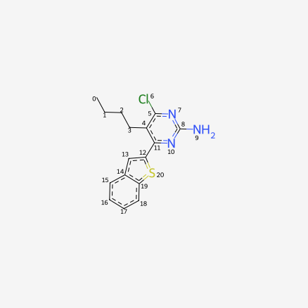 CCCCc1c(Cl)nc(N)nc1-c1cc2ccccc2s1